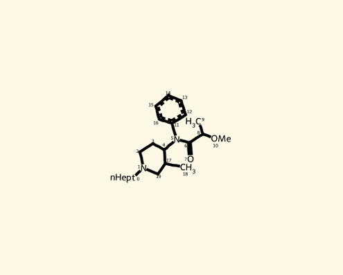 CCCCCCCN1CCC(N(C(=O)C(C)OC)c2ccccc2)C(C)C1